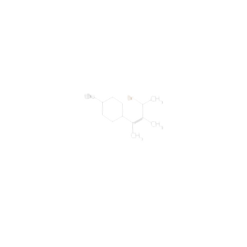 CC(=C(C)C1CCC(C(C)(C)C)CC1)C(C)Br